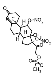 C[C@]12CCC(=O)C=C1CC[C@@H]1[C@@H]2[C@@H](O[N+](=O)[O-])C[C@@]2(C)[C@H]1CC[C@]2(O[N+](=O)[O-])C(=O)COS(C)(=O)=O